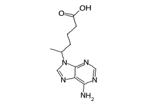 CC(CCCC(=O)O)n1cnc2c(N)ncnc21